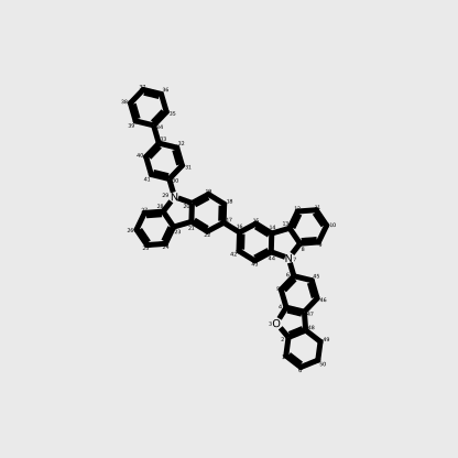 C1=Cc2oc3cc(-n4c5ccccc5c5cc(-c6ccc7c(c6)c6ccccc6n7-c6ccc(-c7ccccc7)cc6)ccc54)ccc3c2CC1